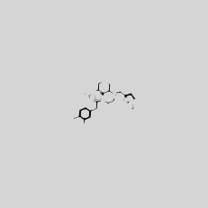 CC1COCC2N(Cc3ccn(C)n3)CCN(C(=O)Cc3ccc(Cl)c(Cl)c3)C12C